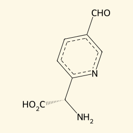 N[C@H](C(=O)O)c1ccc(C=O)cn1